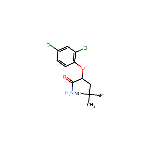 CC(C)C(C)(C#N)CC(Oc1ccc(Cl)cc1Cl)C(N)=O